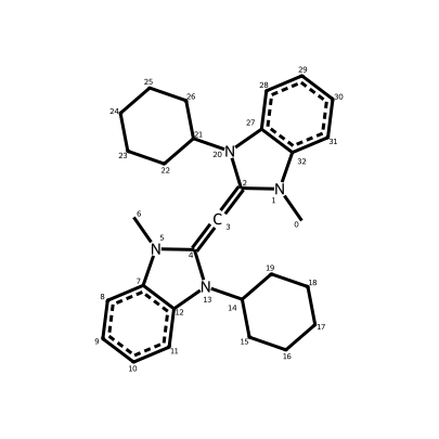 CN1C(=C=C2N(C)c3ccccc3N2C2CCCCC2)N(C2CCCCC2)c2ccccc21